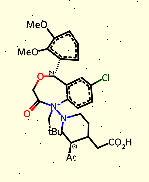 COc1cccc([C@H]2OCC(=O)[N+](CC(C)(C)C)(N3CCC(CC(=O)O)[C@@H](C(C)=O)C3)c3ccc(Cl)cc32)c1OC